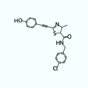 CC1N=C(C#Cc2ccc(O)cc2)SC1C(=O)NCc1ccc(Cl)cc1